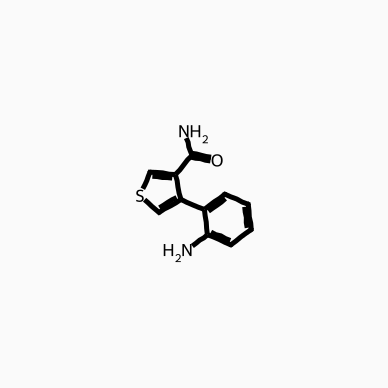 NC(=O)c1cscc1-c1ccccc1N